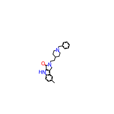 Cc1ccc2[nH]c3c(c2c1)CN(CCC1CCN(Cc2ccccc2)CC1)C3=O